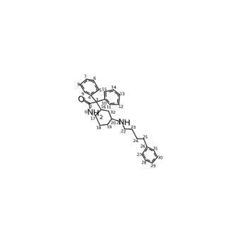 NC(=O)C(c1ccccc1)(c1ccccc1)C1CCCC(NCCCCc2ccccc2)C1